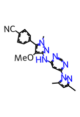 COc1c(Nc2cc(-n3nc(C)cc3C)ncn2)nn(C)c1-c1ccc(C#N)cc1